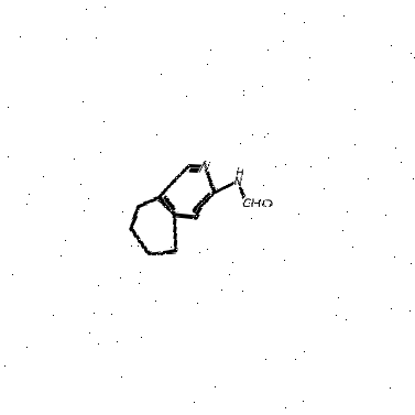 O=CNc1cc2c(cn1)CCCC2